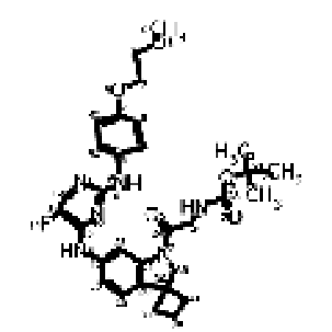 COCCOc1ccc(Nc2ncc(F)c(Nc3ccc4c(c3)N(C(=O)CNC(=O)OC(C)(C)C)CC43CCC3)n2)cc1